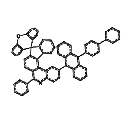 c1ccc(-c2ccc(-c3c4ccccc4c(-c4ccc5nc(-c6ccccc6)c6ccc7c(c6c5c4)-c4ccccc4C74c5ccccc5Oc5ccccc54)c4ccccc34)cc2)cc1